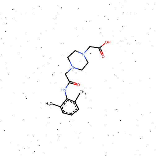 Cc1cccc(C)c1NC(=O)CN1CCN(CC(=O)O)CC1